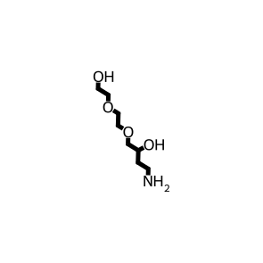 NCCC(O)COCCOCCO